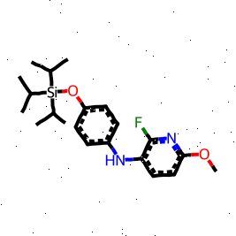 COc1ccc(Nc2ccc(O[Si](C(C)C)(C(C)C)C(C)C)cc2)c(F)n1